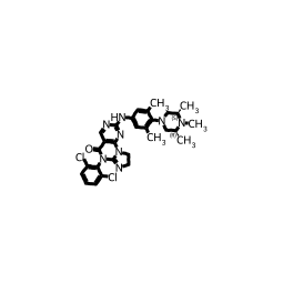 Cc1cc(Nc2ncc3c(n2)N2CCN=C2N(c2c(Cl)cccc2Cl)C3=O)cc(C)c1N1C[C@@H](C)N(C)[C@@H](C)C1